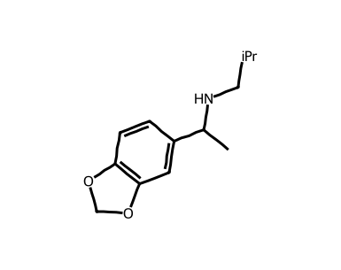 CC(C)CNC(C)c1ccc2c(c1)OCO2